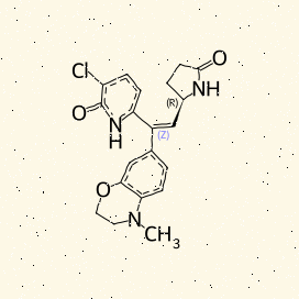 CN1CCOc2cc(/C(=C/[C@H]3CCC(=O)N3)c3ccc(Cl)c(=O)[nH]3)ccc21